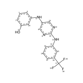 Oc1cccc(Nc2cnc(Nc3cccc(C(F)(F)F)c3)nc2)c1